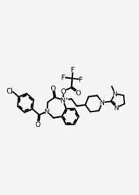 CN1CCN=C1N1CCC(CC[N+]2(OC(=O)C(F)(F)F)C(=O)CN(C(=O)c3ccc(Cl)cc3)Cc3ccccc32)CC1